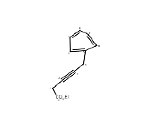 CCOC(=O)CC#C[CH]c1ccccc1